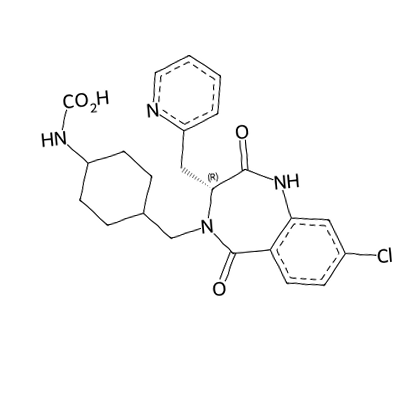 O=C(O)NC1CCC(CN2C(=O)c3ccc(Cl)cc3NC(=O)[C@H]2Cc2ccccn2)CC1